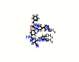 Cc1cc(CNc2nc(N[C@H]3CC[C@H](N(C(=O)NCc4ccccc4)c4ccc(-c5cnn(C)c5)cn4)CC3)ncc2C#N)nn1C